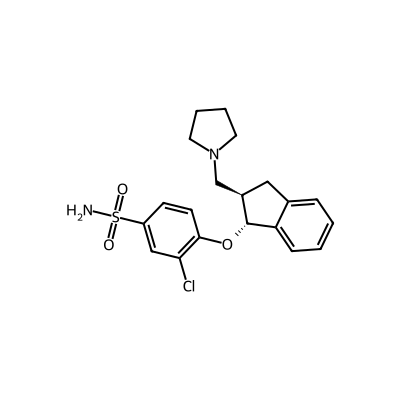 NS(=O)(=O)c1ccc(O[C@H]2c3ccccc3C[C@@H]2CN2CCCC2)c(Cl)c1